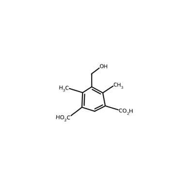 Cc1c(C(=O)O)cc(C(=O)O)c(C)c1CO